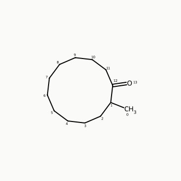 CC1CCCCCCCCCCC1=O